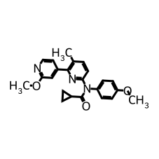 COc1ccc(N(C(=O)C2CC2)c2ccc(C)c(-c3ccnc(OC)c3)n2)cc1